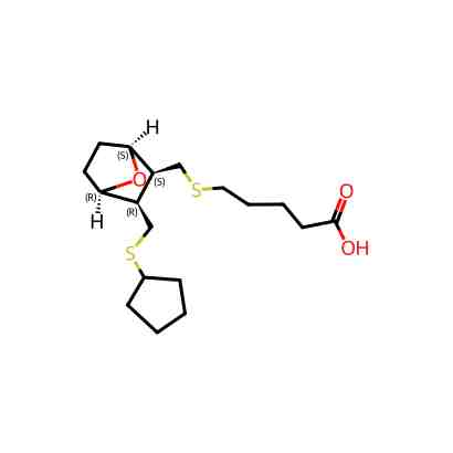 O=C(O)CCCCSC[C@H]1[C@@H](CSC2CCCC2)[C@H]2CC[C@@H]1O2